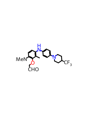 CNc1ccc(Nc2ccc(N3CCC(C(F)(F)F)CC3)cc2)c(C)c1OCC=O